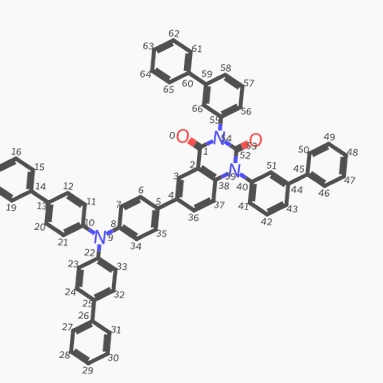 O=c1c2cc(-c3ccc(N(c4ccc(-c5ccccc5)cc4)c4ccc(-c5ccccc5)cc4)cc3)ccc2n(-c2cccc(-c3ccccc3)c2)c(=O)n1-c1cccc(-c2ccccc2)c1